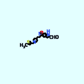 Cc1cc(CN2CCC(CCc3noc4cc5c(cc34)CC(C=O)N5)CC2)cs1